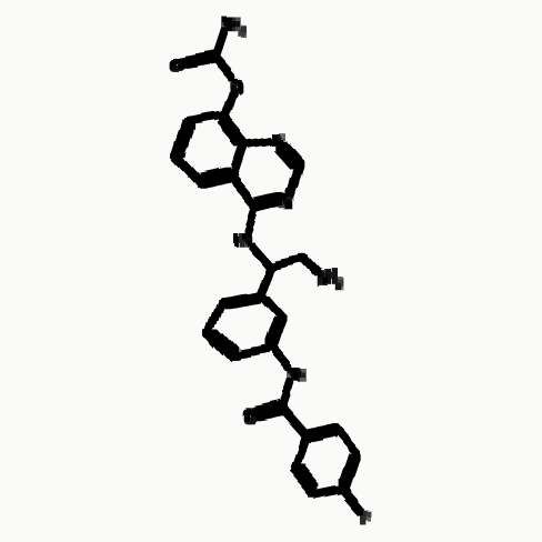 NCC(Nc1ncnc2c(OC(N)=O)cccc12)c1cccc(NC(=O)c2ccc(F)cc2)c1